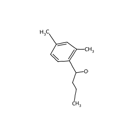 CCCC([O])c1ccc(C)cc1C